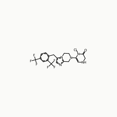 O=C1CNC=C(N2CCn3c(Cc4ccc(C(F)(F)F)cc4C(F)(F)F)cnc3C2)N1Cl